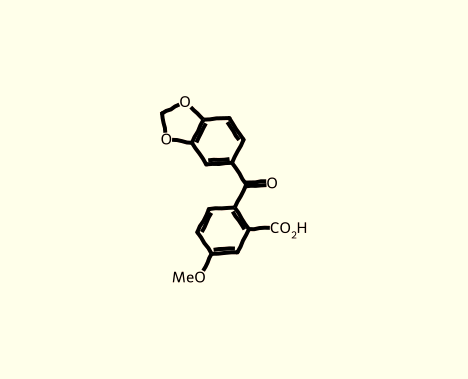 COc1ccc(C(=O)c2ccc3c(c2)OCO3)c(C(=O)O)c1